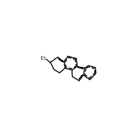 CCC1C=c2ccc3c(c2CC1)CC=c1ccccc1=3